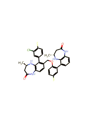 C[C@@H]1CC(=O)Nc2cccc(-c3cc(F)ccc3OCc3ccc4c(c3-c3ccc(F)c(Cl)c3)N[C@H](C)CC(=O)N4)c2N1